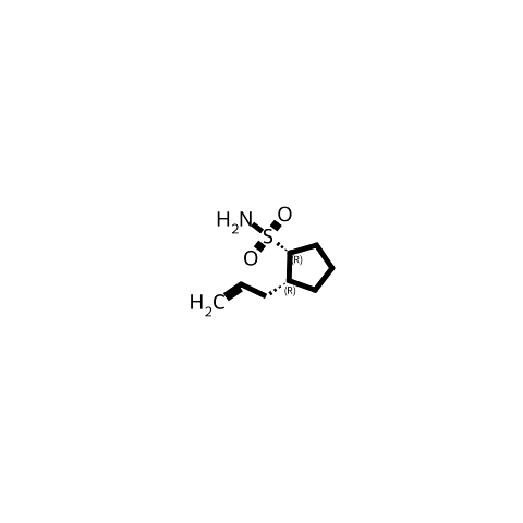 C=CC[C@H]1CCC[C@H]1S(N)(=O)=O